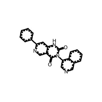 O=c1[nH]c2cc(-c3ccccc3)ncc2c(=O)n1-c1cncc2ccccc12